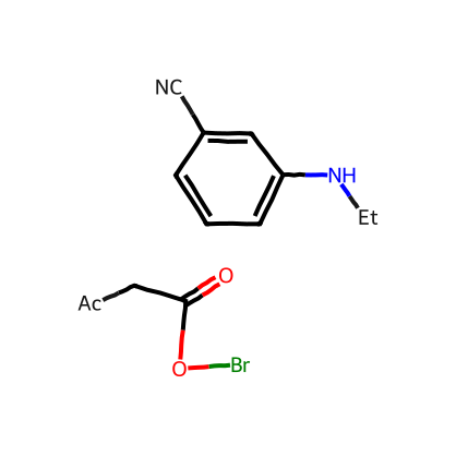 CC(=O)CC(=O)OBr.CCNc1cccc(C#N)c1